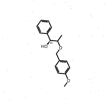 COc1ccc(COC(C)[C@@H](O)c2ccccc2)cc1